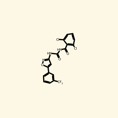 O=C(NC(=O)c1c(Cl)cccc1Cl)Nc1cc(-c2cccc(C(F)(F)F)c2)on1